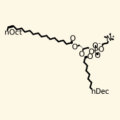 CCCCCCCC/C=C\CCCCCCCCCCCCCC(=O)OC[C@H](COP(=O)([O-])OCC[N+](C)(C)C)OC(=O)CCCCCCCCCCCCCCCCC